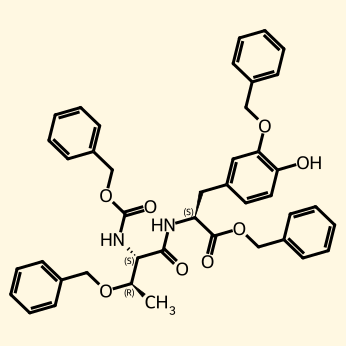 C[C@@H](OCc1ccccc1)[C@H](NC(=O)OCc1ccccc1)C(=O)N[C@@H](Cc1ccc(O)c(OCc2ccccc2)c1)C(=O)OCc1ccccc1